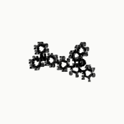 c1ccc(-c2ccc(-c3ccc(-c4ccc(N(c5ccccc5)c5ccccc5)cc4)cc3)c3c2oc2c4ccccc4ccc23)cc1